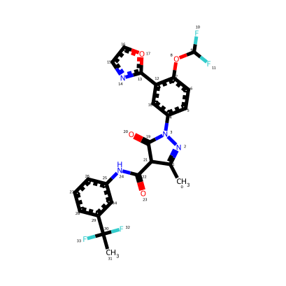 CC1=NN(c2ccc(OC(F)F)c(-c3ncco3)c2)C(=O)C1C(=O)Nc1cccc(C(C)(F)F)c1